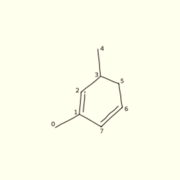 CC1=[C]C(C)CC=C1